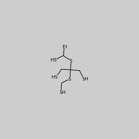 CCC(S)SC(CS)(CS)SCS